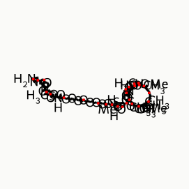 CO[C@H]1C[C@@H]2CC[C@@H](C)[C@@](O)(O2)C(=O)C(=O)N2CCCC[C@H]2C(=O)O[C@H]([C@H](C)C[C@@H]2CC[C@@H](OC(=S)NCCOCCOCCOCCOCCOCCOCCOCCOCCC(=O)NCCS(=O)(=O)c3ccc(C(=O)N4CCOc5ccc(-c6ccc(N)nc6)cc5C4)c(C)c3)[C@H](OC)C2)CC(=O)[C@H](C)/C=C(\C)[C@@H](O)[C@@H](OC)C(=O)[C@H](C)C[C@H](C)/C=C/C=C/C=C/1C